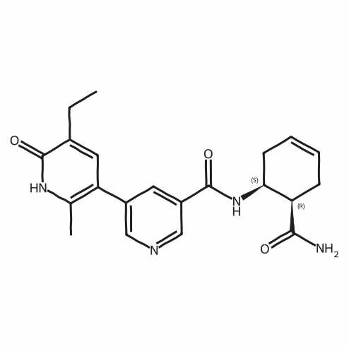 CCc1cc(-c2cncc(C(=O)N[C@H]3CC=CC[C@H]3C(N)=O)c2)c(C)[nH]c1=O